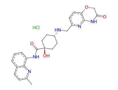 Cc1ccc2cccc(NC(=O)[C@]3(O)CC[C@H](NCc4ccc5c(n4)NC(=O)CO5)CC3)c2n1.Cl